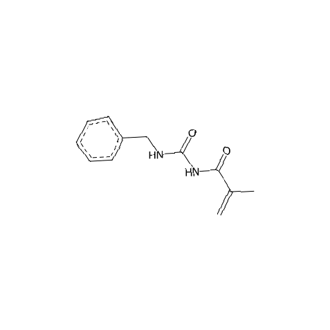 C=C(C)C(=O)NC(=O)NCc1ccccc1